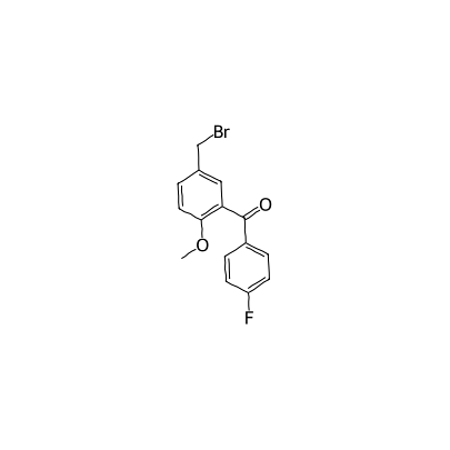 COc1ccc(CBr)cc1C(=O)c1ccc(F)cc1